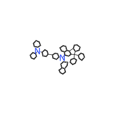 c1ccc(N(c2ccccc2)c2ccc(-c3ccc(N(c4ccc5ccccc5c4)c4cc5c(c6ccccc46)-c4ccccc4C5(c4ccccc4)c4ccccc4)cc3)cc2)cc1